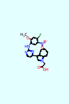 COc1cc(F)c([N+](=O)[O-])cc1Nc1nccc(-c2cn(CC(=O)O)c3ccccc23)n1